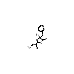 C=CC(=O)C1=NC(CC)(Cc2ccccc2)C(=O)O1